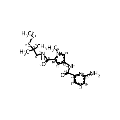 CSSC(C)(C)CNC(=O)c1cc(NC(=O)c2cccc(N)n2)cn1C